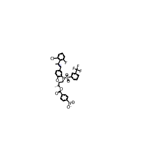 C/C(=C\c1ccc2c(c1)N(S(=O)(=O)c1cccc(C(F)(F)F)c1)CC([C@@H](C)OC(=O)c1ccc([N+](=O)[O-])cc1)O2)c1c(F)cccc1Cl